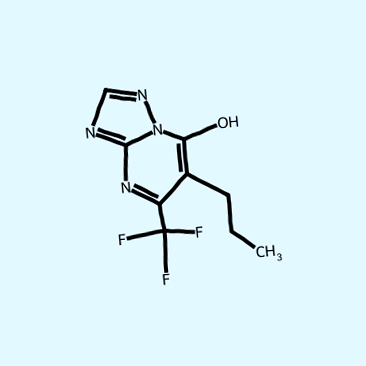 CCCc1c(C(F)(F)F)nc2ncnn2c1O